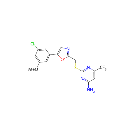 COc1cc(Cl)cc(-c2cnc(CSc3nc(N)cc(C(F)(F)F)n3)o2)c1